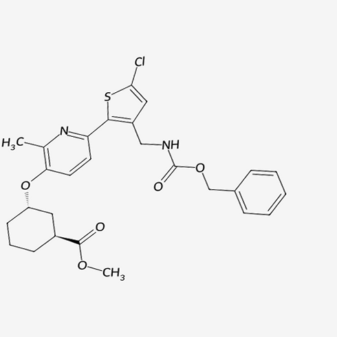 COC(=O)[C@H]1CCC[C@H](Oc2ccc(-c3sc(Cl)cc3CNC(=O)OCc3ccccc3)nc2C)C1